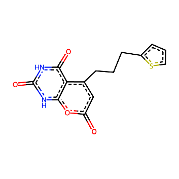 O=c1[nH]c(=O)c2c(CCCc3cccs3)cc(=O)oc2[nH]1